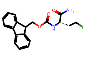 NC(=O)[C@H](CCF)NC(=O)OCC1c2ccccc2-c2ccccc21